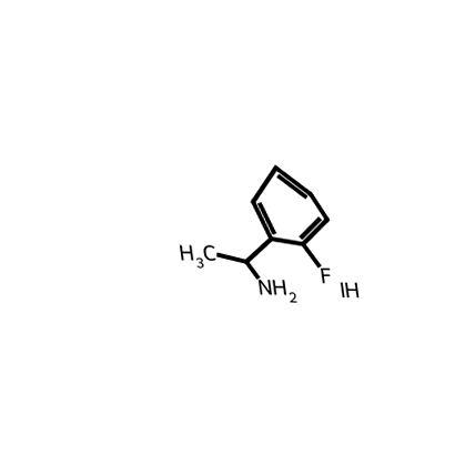 CC(N)c1ccccc1F.I